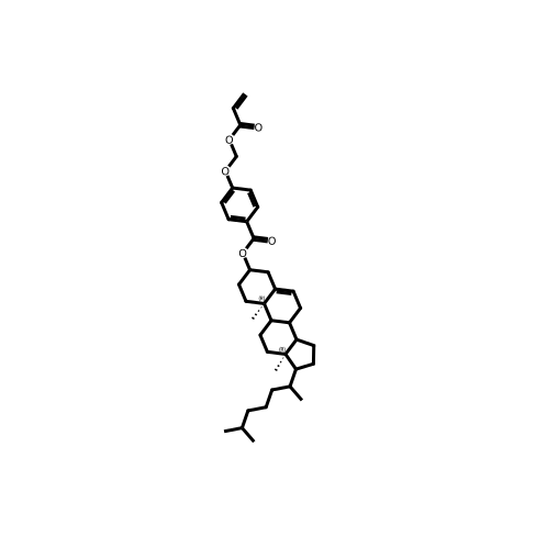 C=CC(=O)OCOc1ccc(C(=O)OC2CC[C@@]3(C)C(=CCC4C5CCC(C(C)CCCC(C)C)[C@@]5(C)CCC43)C2)cc1